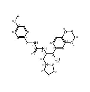 COc1ccc(CNC(=O)NC(CN2CCCC2)C(O)c2ccc3c(c2)OCCO3)cc1